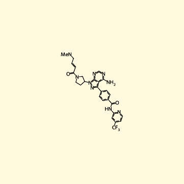 CNC/C=C/C(=O)N1CCC(n2nc(-c3ccc(C(=O)Nc4cc(C(F)(F)F)ccn4)cc3)c3c(N)ncnc32)C1